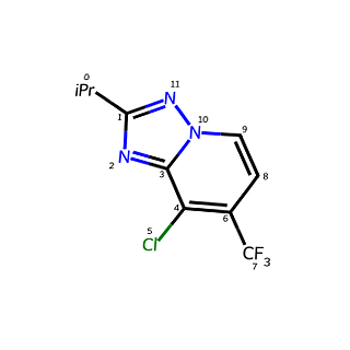 CC(C)c1nc2c(Cl)c(C(F)(F)F)ccn2n1